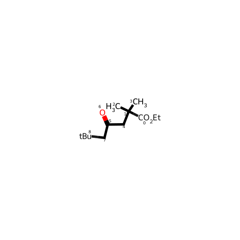 CCOC(=O)C(C)(C)CC(=O)CC(C)(C)C